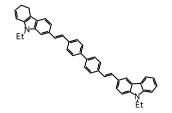 CCn1c2c(c3ccc(/C=C/c4ccc(-c5ccc(/C=C/c6ccc7c(c6)c6ccccc6n7CC)cc5)cc4)cc31)CCC=C2